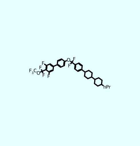 CCCC1CCC(C2CCC(c3ccc(C(F)(F)Oc4ccc(-c5cc(F)c(C(F)(F)OC(F)(F)F)c(F)c5)cc4)cc3)CC2)CC1